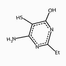 CCc1nc(N)c(S)c(O)n1